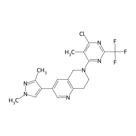 Cc1nn(C)cc1-c1cnc2c(c1)CN(c1nc(C(F)(F)F)nc(Cl)c1C)CC2